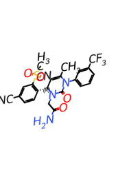 [C-]#[N+]C1=C(C)N(c2cccc(C(F)(F)F)c2)C(=O)N(CC(N)=O)[C@@H]1c1ccc(C#N)cc1S(C)(=O)=O